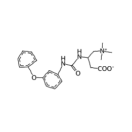 C[N+](C)(C)CC(CC(=O)[O-])NC(=O)Nc1cccc(Oc2ccccc2)c1